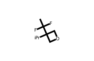 CC(C)C1(C(C)(F)F)COC1